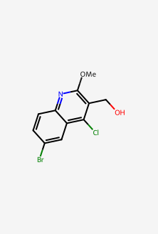 COc1nc2ccc(Br)cc2c(Cl)c1CO